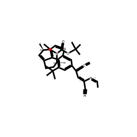 C=C=C(/C=C(C#N)\N=C/C)c1cc(C(C)(C)C)c2c(/C3=C\[C@@H](C)CN(C(=O)OC(C)(C)C)[C@H](C)CC3)c(C)cnc2c1